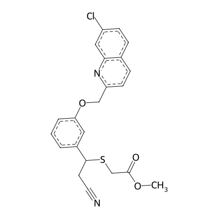 COC(=O)CSC(CC#N)c1cccc(OCc2ccc3ccc(Cl)cc3n2)c1